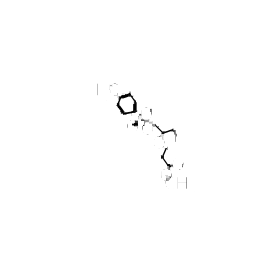 COC(=O)CCOC(CF)COS(=O)(=O)c1ccc(C)cc1